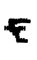 COCCCCC(=O)N1C[C@H](O)C[C@H]1COP(=O)(O)[C@@H]1C[C@@H](COC)N(C(=O)CCCCOC)C1